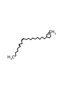 CCCCC/C=C/C/C=C\CCCCCCCCCC1CCN(C)C1